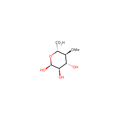 CO[C@H]1[C@H](O)[C@@H](O)[C@@H](O)O[C@@H]1C(=O)O